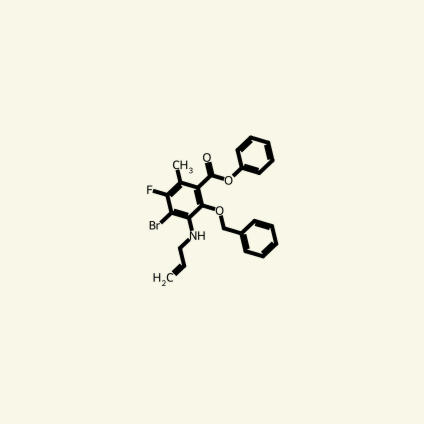 C=CCNc1c(Br)c(F)c(C)c(C(=O)Oc2ccccc2)c1OCc1ccccc1